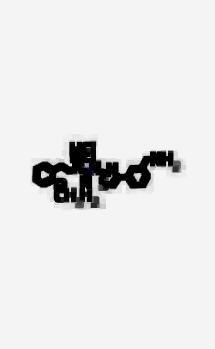 COc1ccccc1CCN/C(N)=N/c1nc(-c2cccc(CN)c2)cs1.Cl.Cl